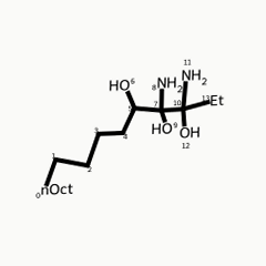 CCCCCCCCCCCCC(O)C(N)(O)C(N)(O)CC